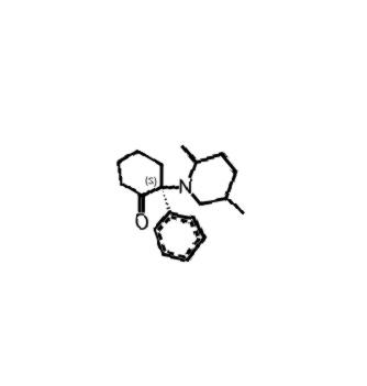 CC1CCC(C)N([C@]2(c3ccccc3)CCCCC2=O)C1